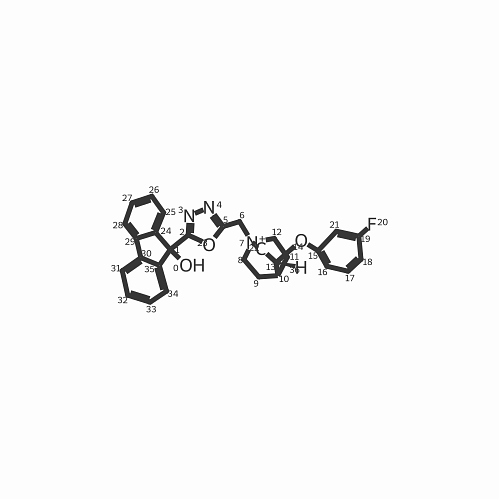 OC1(c2nnc(C[N+]34CCC(CC3)[C@@H](Oc3cccc(F)c3)C4)o2)c2ccccc2-c2ccccc21